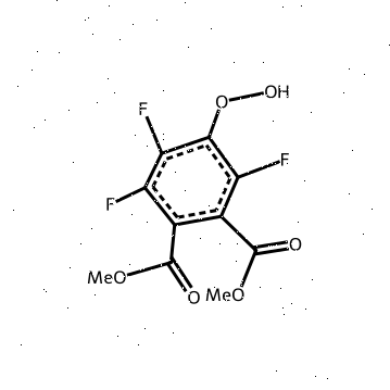 COC(=O)c1c(F)c(F)c(OO)c(F)c1C(=O)OC